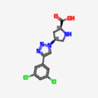 O=C(O)[C@@H]1C[C@H](n2cc(-c3cc(Cl)cc(Cl)c3)nn2)CN1